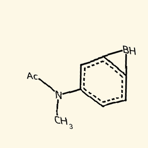 CC(=O)N(C)c1ccc2c(c1)B2